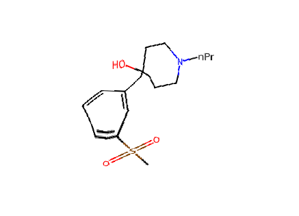 CCCN1CCC(O)(c2cccc(S(C)(=O)=O)c2)CC1